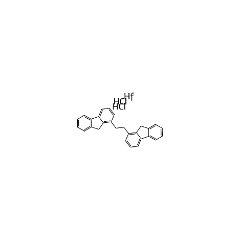 Cl.Cl.[Hf].c1ccc2c(c1)Cc1c(CCc3cccc4c3Cc3ccccc3-4)cccc1-2